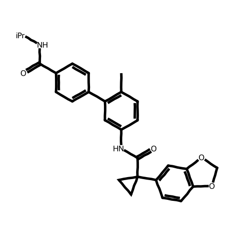 Cc1ccc(NC(=O)C2(c3ccc4c(c3)OCO4)CC2)cc1-c1ccc(C(=O)NC(C)C)cc1